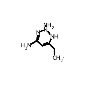 [CH2]CC1=CC(N)=NN(N)N1